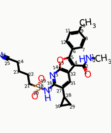 CNC(=O)c1c(-c2ccc(C)cc2)oc2nc(NS(=O)(=O)CCCCC#N)c(C3CC3)cc12